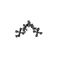 O.O.O.O.O.O.O.O=S(=O)([O-])[O-].O=S(=O)([O-])[O-].[Ti+4]